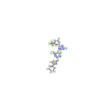 Cc1cc(-c2n[nH]c(Sc3cc(Cl)nc(Sc4nc(-c5ccccc5)cs4)n3)n2)cc(C(F)(F)F)c1